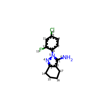 Nc1c2c(nn1-c1ccc(Cl)cc1F)CCCC2